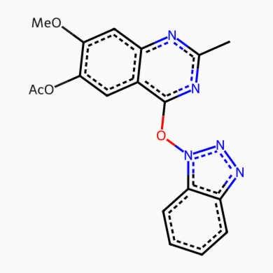 COc1cc2nc(C)nc(On3nnc4ccccc43)c2cc1OC(C)=O